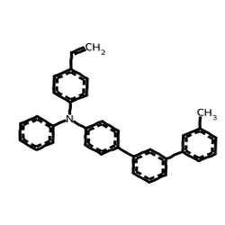 C=Cc1ccc(N(c2ccccc2)c2ccc(-c3cccc(-c4cccc(C)c4)c3)cc2)cc1